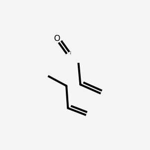 C=CC.C=CCC.[C]=O